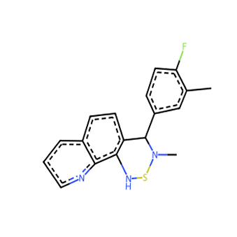 Cc1cc(C2c3ccc4cccnc4c3NSN2C)ccc1F